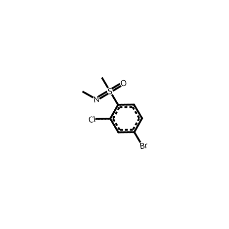 CN=S(C)(=O)c1ccc(Br)cc1Cl